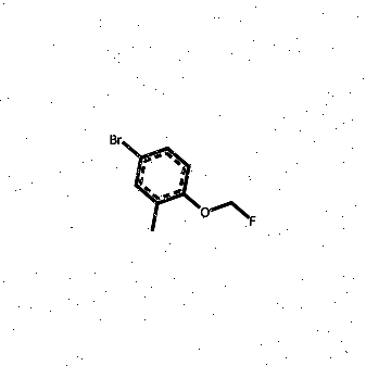 Cc1cc(Br)ccc1OCF